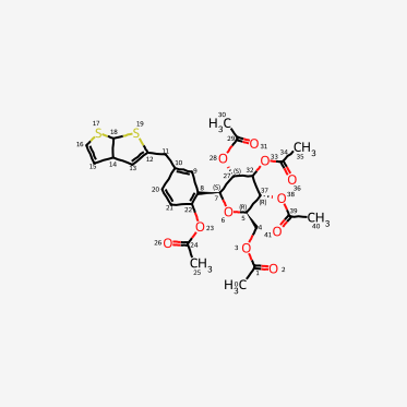 CC(=O)OC[C@H]1O[C@@H](c2cc(CC3=CC4C=CSC4S3)ccc2OC(C)=O)[C@H](OC(C)=O)C(OC(C)=O)[C@@H]1OC(C)=O